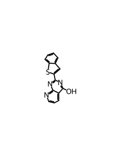 Oc1nc(-c2cc3ccccc3s2)nc2ncccc12